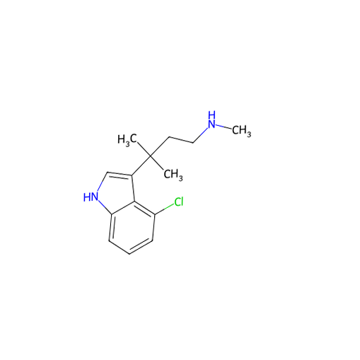 CNCCC(C)(C)c1c[nH]c2cccc(Cl)c12